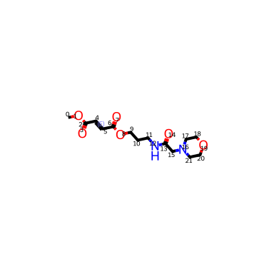 COC(=O)/C=C/C(=O)OCCCNC(=O)CN1CCOCC1